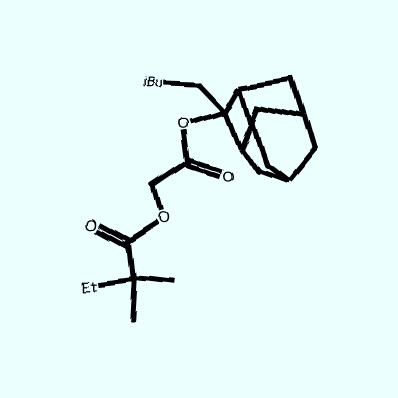 CCC(C)CC1(OC(=O)COC(=O)C(C)(C)CC)C2CC3CC(C2)CC1C3